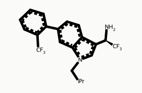 CC(C)Cn1cc([C@@H](N)C(F)(F)F)c2ccc(-c3ccccc3C(F)(F)F)cc21